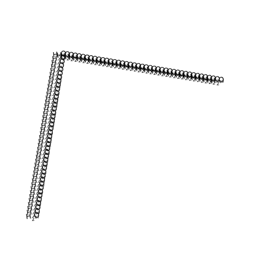 O.O.O.O.O.O.O.O.O.O.O.O.O.O.O.O.O.O.O.O.O.O.O.O.O.O.O.O.O.O.O.O.O.O.O.O.O.O.O.O.O.O.O.O.O.O.O.O.O.O.O.O.O.O.O.O.O.O.O.O.O.O.O.O.O.O.O.O.O.O.O.O.O.O.O.O.O.O.O.O.O.O